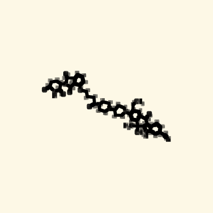 CCc1cc2c(cc1N1CCC(N3CCN(C(=O)CCCOc4cccc5c4C(=O)N(C4CCC(=O)NC4=O)C5=O)CC3)CC1)C(C)(C)c1[nH]c3cc(C#N)ccc3c1C2=O